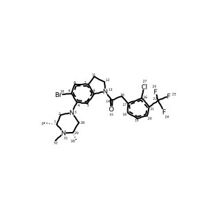 C[C@@H]1CN(c2cc3c(cc2Br)CCN3C(=O)Cc2cccc(C(F)(F)F)c2Cl)C[C@H](C)N1C